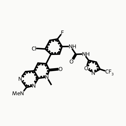 CNc1ncc2cc(-c3cc(NC(=O)Nc4cc(C(F)(F)F)no4)c(F)cc3Cl)c(=O)n(C)c2n1